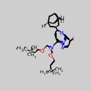 C[Si](C)(C)CCOCN(COCC[Si](C)(C)C)c1cc(C2=C[C@@H]3CC[C@H](C2)C3)nc2c(I)cnn12